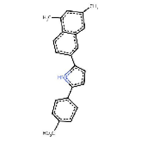 Cc1cc(C)c2ccc(-c3ccc(-c4ccc(C(=O)O)cc4)[nH]3)cc2c1